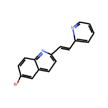 Brc1ccc2nc(/C=C/c3ccccn3)ccc2c1